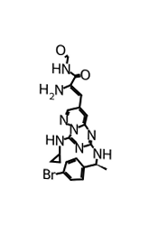 C[C@H](NC1=NC2=C=C(/C=C(\N)C(=O)NC=O)C=NN2C(NC2CC2)=N1)c1ccc(Br)cc1